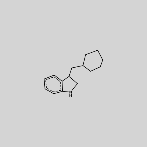 c1ccc2c(c1)NCC2CC1CCCCC1